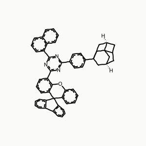 c1ccc2c(c1)Oc1c(-c3nc(-c4ccc(C56C[C@@H]7CC8C[C@H](C5)C8(C7)C6)cc4)nc(-c4cccc5ccccc45)n3)cccc1C21c2ccccc2-c2ccccc21